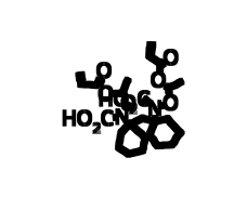 C=CC(=O)OC(C)ON(C(=O)O)C1(CC2(N(OC(C)OC(=O)C=C)C(=O)O)CCCCC2)CCCCC1